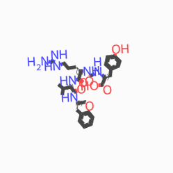 CC(C)[C@H](NC(=O)[C@H](CCCNC(=N)N)NC(=O)N[C@@H](Cc1ccc(O)cc1)C(=O)O)C(=O)N[C@H](C=O)Cc1ccccc1